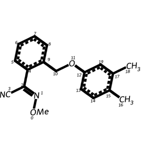 CON=C(C#N)c1ccccc1COc1ccc(C)c(C)c1